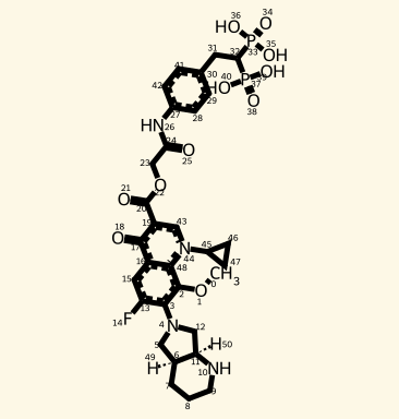 COc1c(N2C[C@@H]3CCCN[C@@H]3C2)c(F)cc2c(=O)c(C(=O)OCC(=O)Nc3ccc(CC(P(=O)(O)O)P(=O)(O)O)cc3)cn(C3CC3)c12